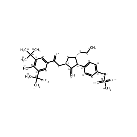 CCC[C@H]1CN(CC(=O)c2cc(C(C)(C)C)c(O)c(C(C)(C)C)c2)C(=N)[C@@H]1c1ccc(NS(C)(=O)=O)cc1